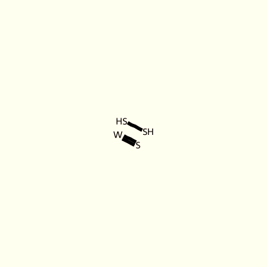 SS.[S]=[W]